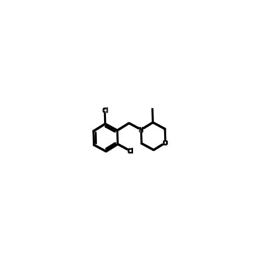 CC1COCCN1Cc1c(Cl)cccc1Cl